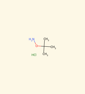 CC(C)(C)ON.Cl